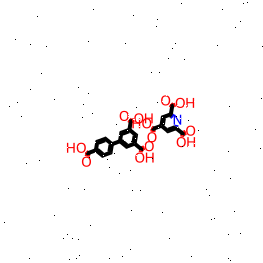 O=C(O)c1cc(C(=O)O)nc(C(=O)O)c1.O=C(O)c1ccc(-c2cc(C(=O)O)cc(C(=O)O)c2)cc1